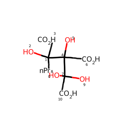 CCCC(O)(C(=O)O)C(O)(C(=O)O)C(O)(O)C(=O)O